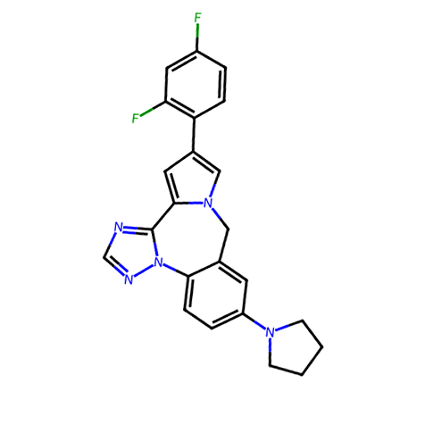 Fc1ccc(-c2cc3n(c2)Cc2cc(N4CCCC4)ccc2-n2ncnc2-3)c(F)c1